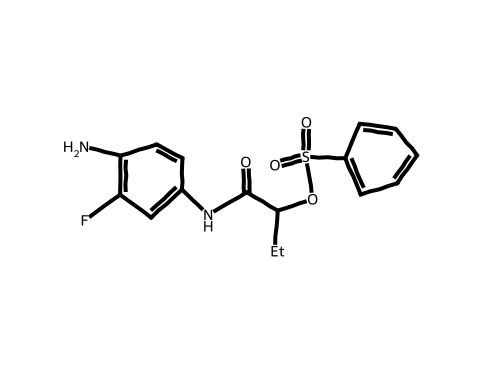 CCC(OS(=O)(=O)c1ccccc1)C(=O)Nc1ccc(N)c(F)c1